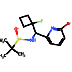 CC(C)(C)[S@@+]([O-])N[C@H](c1cccc(Br)n1)C1(F)CCC1